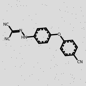 N#CC(C#N)=NNc1ccc(Oc2ccc(C#N)cc2)cc1